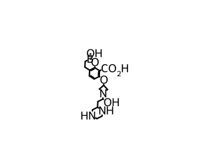 O=C(O)c1c(OC2CN(C(O)CC3CNCCN3)C2)ccc2c1OB(O)CC2